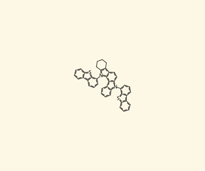 c1ccc2c(c1)sc1c(-n3c4c(c5ccc6c(c7ccccc7n6-c6cccc7c6sc6ccccc67)c53)CCCC4)cccc12